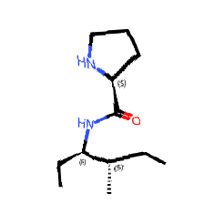 CC[C@H](C)[C@@H](CC)NC(=O)[C@@H]1CCCN1